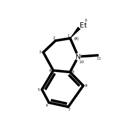 CC[C@@H]1CCc2ccccc2N1C